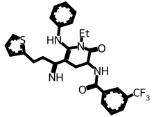 CCN1C(=O)C(NC(=O)c2cccc(C(F)(F)F)c2)CC(C(=N)CCc2cccs2)=C1Nc1ccccc1